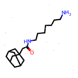 NCCCCCCCNC(=O)CC12CC3CC(CC(C3)C1)C2